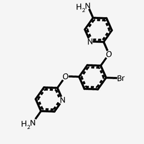 Nc1ccc(Oc2ccc(Br)c(Oc3ccc(N)cn3)c2)nc1